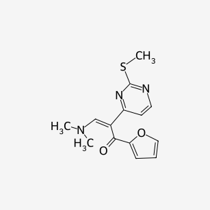 CSc1nccc(C(=CN(C)C)C(=O)c2ccco2)n1